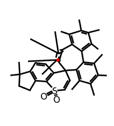 Cc1c(C)c(C)c2c(c1C)-c1c(C)c(C)c(C)c(C)c1C1(C=CS(=O)(=O)c3c1ccc1c3CCC1(C)C)c1c(C)c(C)c(C)c(C)c1-2